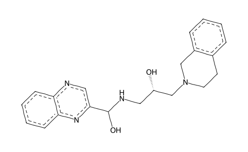 OC(NC[C@H](O)CN1CCc2ccccc2C1)c1cnc2ccccc2n1